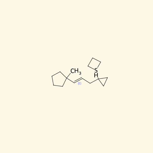 CC1(/C=C/CC2([SH]3CCC3)CC2)CCCC1